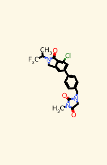 CC(N1Cc2cc(-c3ccc(CN4CC(=O)N(C)C4=O)cc3)cc(Cl)c2C1=O)C(F)(F)F